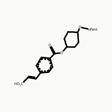 CCCCCOC1CCC(OC(=O)c2ccc(C=CC(=O)O)cc2)CC1